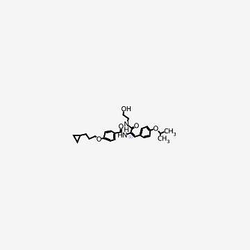 CC(C)Oc1ccc(/C=C(/NC(=O)c2ccc(OCCCC3CC3)cc2)C(=O)NCCO)cc1